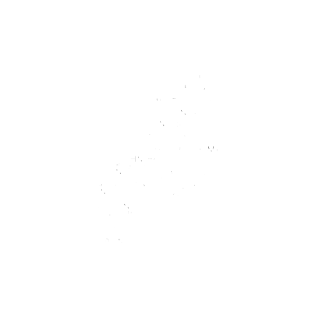 COc1ccc(Cl)cc1-c1cc(N2CCC(C)CC2=O)ncc1C(=O)Nc1nc2ncc(C3CC3)nc2s1